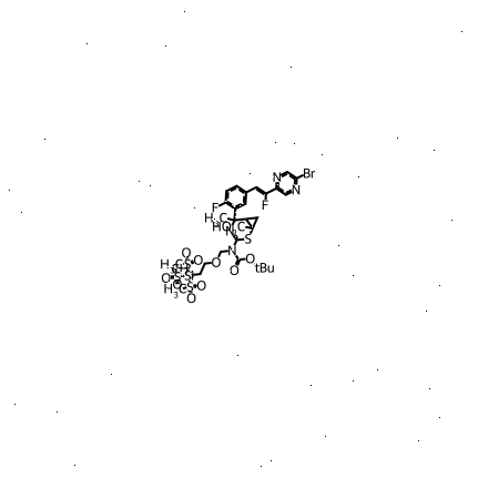 CC(C)(C)OC(=O)N(COCC[Si](S(C)(=O)=O)(S(C)(=O)=O)S(C)(=O)=O)C1=NC(C)(c2cc(C=C(F)c3cnc(Br)cn3)ccc2F)C2CC2(C(=O)O)S1